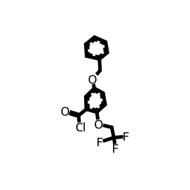 O=C(Cl)c1cc(OCc2ccccc2)ccc1OCC(F)(F)F